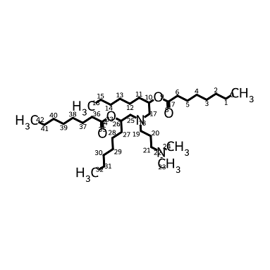 CCCCCCCC(=O)OC(CCCCCC)CN(CCCN(C)C)CC(CCCCCC)OC(=O)CCCCCCC